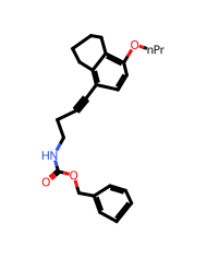 CCCOc1ccc(C#CCCNC(=O)OCc2ccccc2)c2c1CCCC2